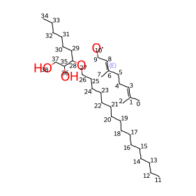 CC(C)=CCC/C(C)=C/C[O].CCCCCCCCCCCCCCCCOC(CCCCCC)C(O)CO